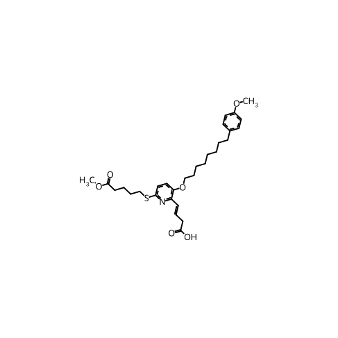 COC(=O)CCCCSc1ccc(OCCCCCCCCc2ccc(OC)cc2)c(C=CCC(=O)O)n1